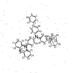 c1ccc(-c2ccc(N(c3ccc(N4c5ccccc5Sc5ccccc54)cc3)c3ccc(C45CC6CC(CC(C6)C4)C5)cc3)cc2)cc1